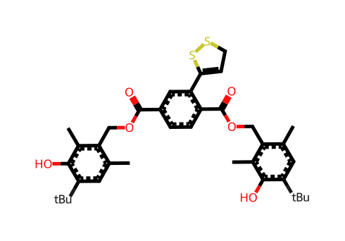 Cc1cc(C(C)(C)C)c(O)c(C)c1COC(=O)c1ccc(C(=O)OCc2c(C)cc(C(C)(C)C)c(O)c2C)c(C2=CCSS2)c1